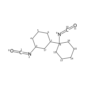 O=C=NC1CCCC(C2(N=C=O)CCCCC2)C1